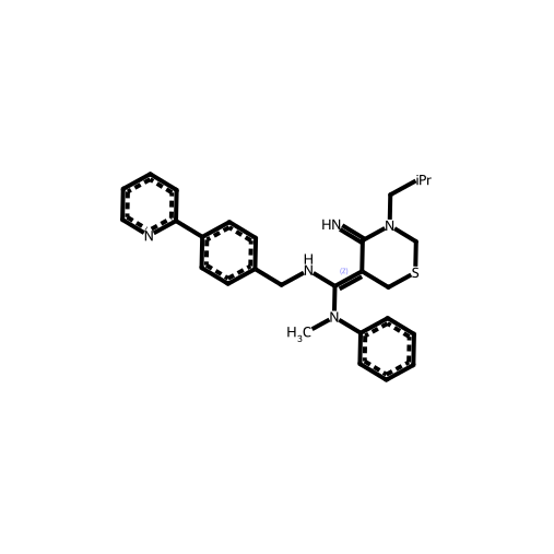 CC(C)CN1CSC/C(=C(/NCc2ccc(-c3ccccn3)cc2)N(C)c2ccccc2)C1=N